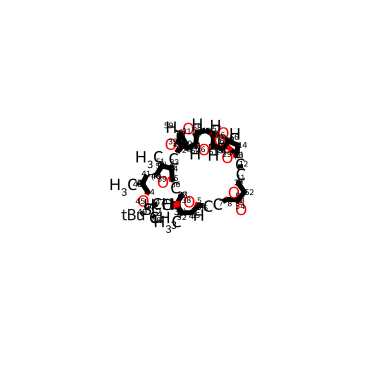 C=C1[C@H](C)C[C@@H]2CCC3OC(CC[C@@]45C[C@H]6O[C@H]7C(O4)[C@H]4O[C@H](CC[C@@H]4O[C@H]7[C@H]6O5)CC(=O)CC4C(C[C@H]1O2)O[C@H](C[C@H](C)CO[Si](C)(C)C(C)(C)C)[C@@H]4C)CC3=O